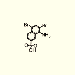 Nc1c(Br)cc(Br)c2ccc(S(=O)(=O)O)cc12